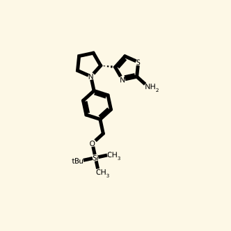 CC(C)(C)[Si](C)(C)OCc1ccc(N2CCC[C@@H]2c2csc(N)n2)cc1